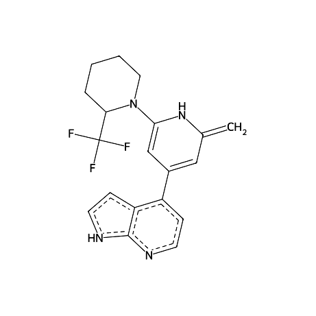 C=C1C=C(c2ccnc3[nH]ccc23)C=C(N2CCCCC2C(F)(F)F)N1